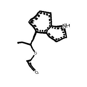 CC(OC=O)c1cccc2[nH]ccc12